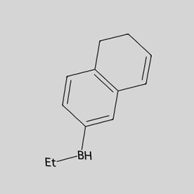 CCBc1ccc2c(c1)C=CCC2